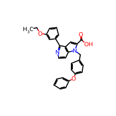 CCOc1cccc(-c2nccc3c2cc(C(=O)O)n3Cc2ccc(Oc3ccccc3)cc2)c1